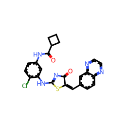 O=C1N=C(Nc2cc(NC(=O)C3CCC3)ccc2Cl)SC1=Cc1ccc2nccnc2c1